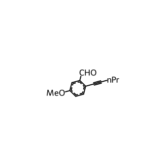 CCCC#Cc1ccc(OC)cc1C=O